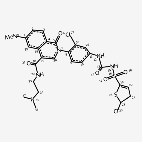 CNc1ccc2c(=O)n(-c3ccc(NC(=O)NS(=O)(=O)C4=CCC(Cl)S4)cc3Cl)cc(C(=O)NCCN(C)C)c2c1